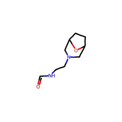 O=CNCCN1CC2CCC(C1)O2